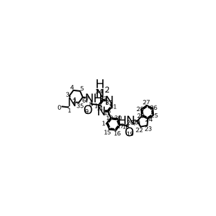 CCN1CCCC(NC(=O)c2nc(-c3cccc(C(=O)N[C@H]4CCc5ccccc54)c3)cnc2N)C1